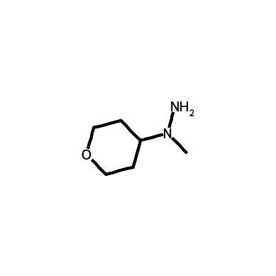 CN(N)C1CCOCC1